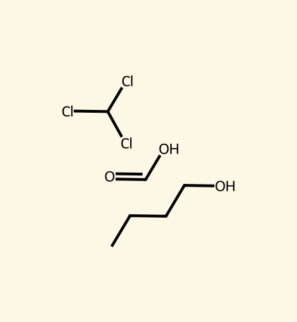 CCCCO.ClC(Cl)Cl.O=CO